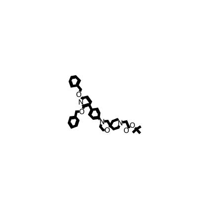 CC(C)(C)OC(=O)CN1CCC2(CC1)CN(c1ccc(-c3ccc(OCc4ccccc4)nc3OCc3ccccc3)cc1)CCO2